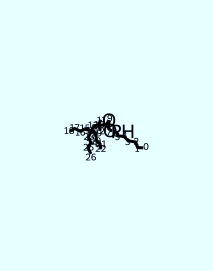 CCCCCCPOC(=O)C(C)(C)CC(CCCC)(CCCC)CCCC